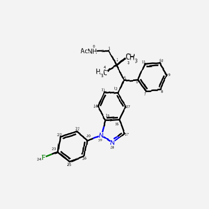 CC(=O)NCC(C)(C)C(c1ccccc1)c1ccc2c(cnn2-c2ccc(F)cc2)c1